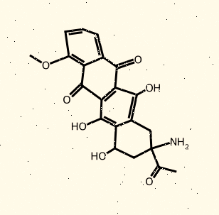 COc1cccc2c1C(=O)c1c(O)c3c(c(O)c1C2=O)CC(N)(C(C)=O)CC3O